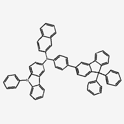 c1ccc(-n2c3ccccc3c3cc(N(c4ccc(-c5ccc6c(c5)-c5ccccc5C6(c5ccccc5)c5ccccc5)cc4)c4ccc5ccccc5c4)ccc32)cc1